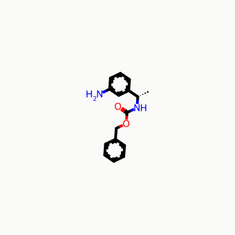 C[C@H](NC(=O)OCc1ccccc1)c1cccc(N)c1